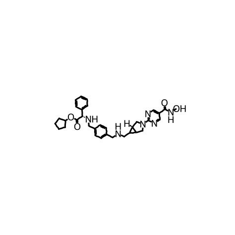 O=C(NO)c1cnc(N2CC3C(CNCc4ccc(CN[C@H](C(=O)OC5CCCC5)c5ccccc5)cc4)[C@@H]3C2)nc1